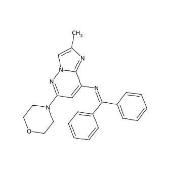 Cc1cn2nc(N3CCOCC3)cc(N=C(c3ccccc3)c3ccccc3)c2n1